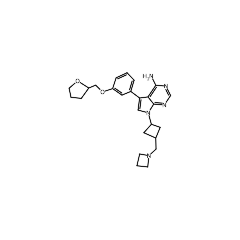 Nc1ncnc2c1c(-c1cccc(OCC3CCCO3)c1)cn2C1CC(CN2CCC2)C1